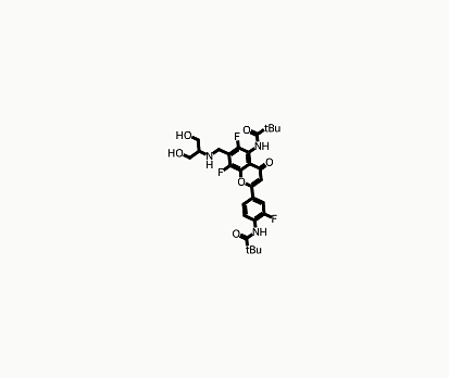 CC(C)(C)C(=O)Nc1ccc(-c2cc(=O)c3c(NC(=O)C(C)(C)C)c(F)c(CNC(CO)CO)c(F)c3o2)cc1F